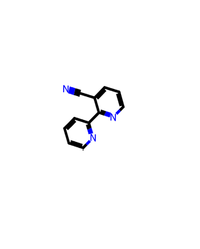 N#Cc1cccnc1-c1ccc[c]n1